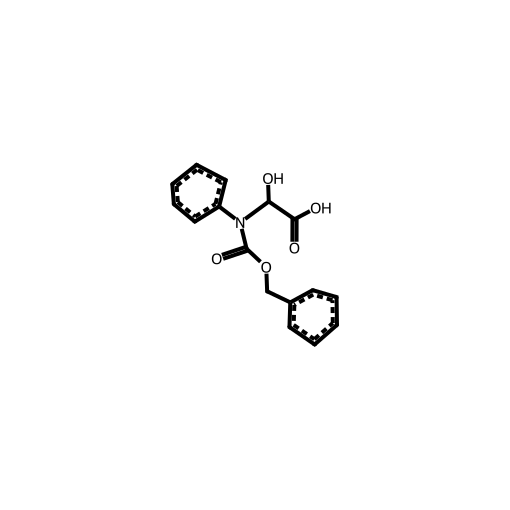 O=C(O)C(O)N(C(=O)OCc1ccccc1)c1ccccc1